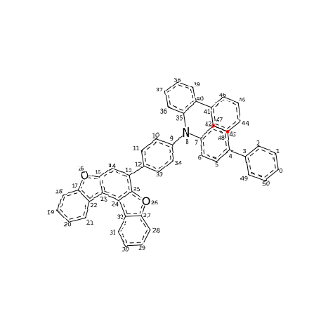 c1ccc(-c2ccc(N(c3ccc(-c4cc5oc6ccccc6c5c5c4oc4ccccc45)cc3)c3ccccc3-c3ccccc3)cc2)cc1